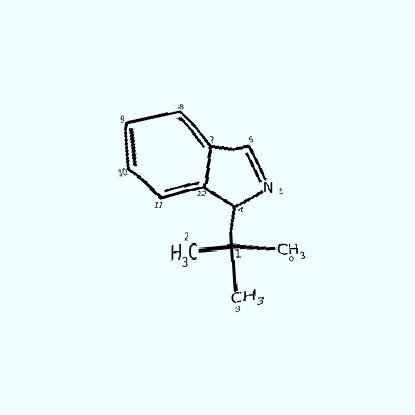 CC(C)(C)C1N=Cc2ccccc21